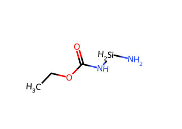 CCOC(=O)N[SiH2]N